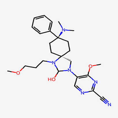 COCCCN1C(O)N(c2cnc(C#N)nc2OC)C[C@]12CC[C@](c1ccccc1)(N(C)C)CC2